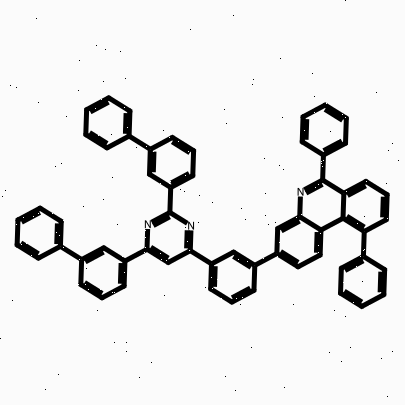 c1ccc(-c2cccc(-c3cc(-c4cccc(-c5ccc6c(c5)nc(-c5ccccc5)c5cccc(-c7ccccc7)c56)c4)nc(-c4cccc(-c5ccccc5)c4)n3)c2)cc1